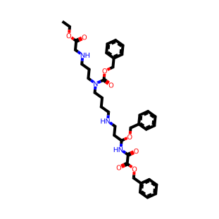 CCOC(=O)CNCCCN(CCCCNCCC(NC(=O)C(=O)OCc1ccccc1)OCc1ccccc1)C(=O)OCc1ccccc1